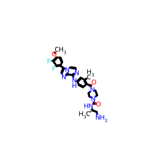 COc1ccc(-c2cnc3c(Nc4ccc(C(=O)N5CCN(C(=O)N[C@@H](C)CN)CC5)c(C)c4)nccn23)c(F)c1F